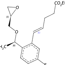 CCOC(=O)CC/C=C/c1cc(F)ccc1[C@@H](C)OC[C@H]1CO1